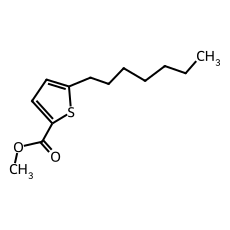 CCCCCCCc1ccc(C(=O)OC)s1